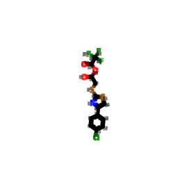 O=C(CSc1nc(-c2ccc(Cl)cc2)cs1)OC(=O)C(F)(F)F